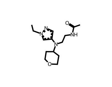 CCn1cc(N(CCNC(C)=O)C2CCOCC2)cn1